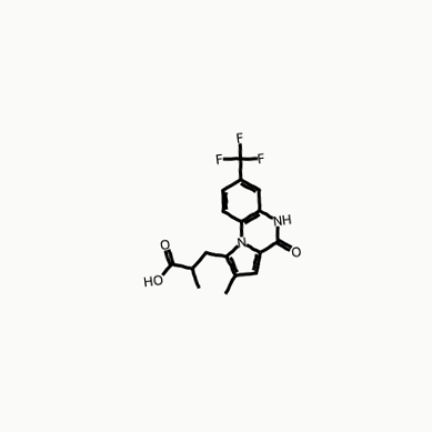 Cc1cc2c(=O)[nH]c3cc(C(F)(F)F)ccc3n2c1CC(C)C(=O)O